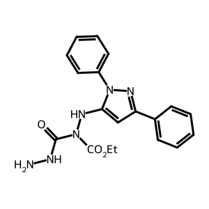 CCOC(=O)N(Nc1cc(-c2ccccc2)nn1-c1ccccc1)C(=O)NN